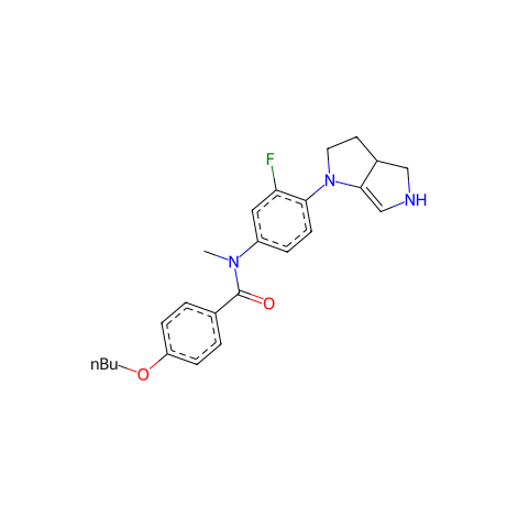 CCCCOc1ccc(C(=O)N(C)c2ccc(N3CCC4CNC=C43)c(F)c2)cc1